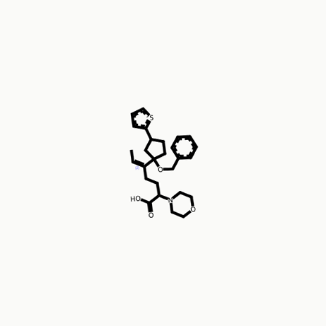 C/C=C(/CCC(C(=O)O)N1CCOCC1)C1(OCc2ccccc2)CCC(c2cccs2)C1